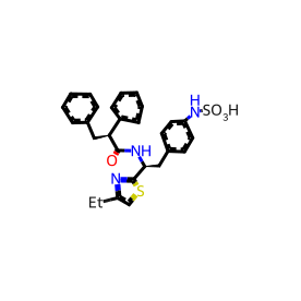 CCc1csc([C@H](Cc2ccc(NS(=O)(=O)O)cc2)NC(=O)[C@@H](Cc2ccccc2)c2ccccc2)n1